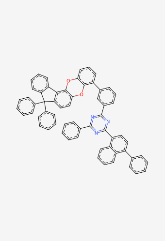 c1ccc(-c2nc(-c3cccc(-c4cccc5c4Oc4ccc6c(c4O5)-c4ccccc4C6(c4ccccc4)c4ccccc4)c3)nc(-c3ccc(-c4ccccc4)c4ccccc34)n2)cc1